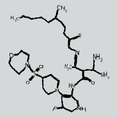 CCCCCC(C)CCC(F)C/N=C(\C)C(C(=O)NC1=C(N2CCC(S(=O)(=O)N3CCOCC3)CC2)C(F)CNC1)C(N)N